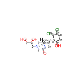 O=C1CN(CC(O)CO)C[C@@H]2C[C@H](c3c(O)ccc(Cl)c3Cl)CN12